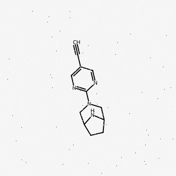 C#Cc1cnc(N2CC3CCC(C2)N3)nc1